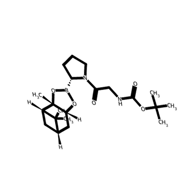 CC(C)(C)OC(=O)NCC(=O)N1CCC[C@H]1B1O[C@@H]2C[C@@H]3C[C@@H](C3(C)C)[C@]2(C)O1